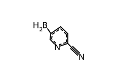 Bc1ccc(C#N)nc1